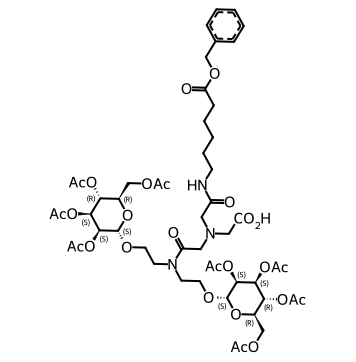 CC(=O)OC[C@H]1O[C@H](OCCN(CCO[C@H]2O[C@H](COC(C)=O)[C@@H](OC(C)=O)[C@H](OC(C)=O)[C@@H]2OC(C)=O)C(=O)CN(CC(=O)O)CC(=O)NCCCCCC(=O)OCc2ccccc2)[C@@H](OC(C)=O)[C@@H](OC(C)=O)[C@@H]1OC(C)=O